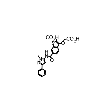 Cn1nc(-c2ccccc2)cc1NC(=O)c1ccc2c(OCC(=O)O)c(C(=O)O)sc2c1